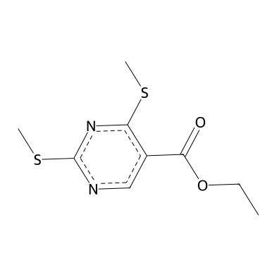 CCOC(=O)c1cnc(SC)nc1SC